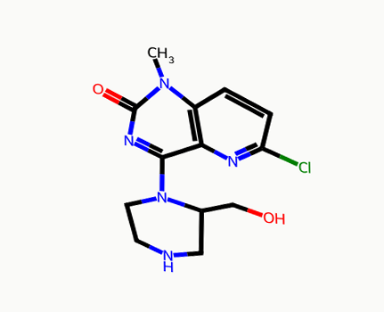 Cn1c(=O)nc(N2CCNCC2CO)c2nc(Cl)ccc21